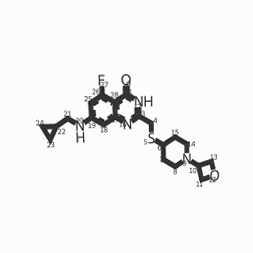 O=c1[nH]c(CSC2CCN(C3COC3)CC2)nc2cc(NCC3CC3)cc(F)c12